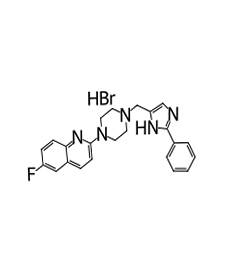 Br.Fc1ccc2nc(N3CCN(Cc4cnc(-c5ccccc5)[nH]4)CC3)ccc2c1